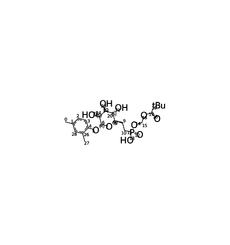 Cc1ccc(O[C@H]2O[C@H](CCP(=O)(O)OCOC(=O)C(C)(C)C)[C@@H](O)[C@H](O)[C@@H]2O)c(C)c1